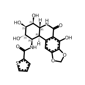 O=C(N[C@H]1[C@H](O)[C@@H](O)[C@@H](O)[C@@H]2NC(=O)c3c(cc4c(c3O)OCO4)[C@@H]12)c1cccs1